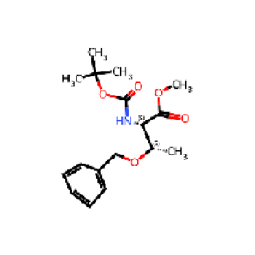 COC(=O)[C@@H](NC(=O)OC(C)(C)C)[C@H](C)OCc1ccccc1